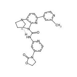 Cc1cc(-c2ccc3c(n2)N(C(=O)Nc2cc(N4CCOC4=O)ccn2)[C@H]2CCN3C2)ccn1